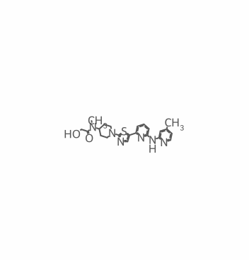 Cc1ccnc(Nc2cccc(-c3cnc(N4CCC(N(C)C(=O)CO)CC4)s3)n2)c1